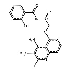 CCOC(=O)c1c(C)nc2cccc(OC[C@H](CC)NC(=O)c3ccccc3O)c2c1N